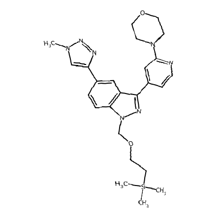 Cn1cc(-c2ccc3c(c2)c(-c2ccnc(N4CCOCC4)c2)nn3COCC[Si](C)(C)C)nn1